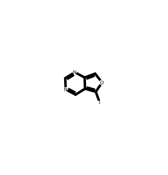 Ic1occ2ncncc12